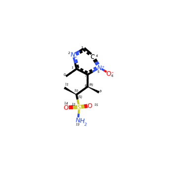 Cc1ncc[n+]([O-])c1[C@@H](C)[C@H](C)S(N)(=O)=O